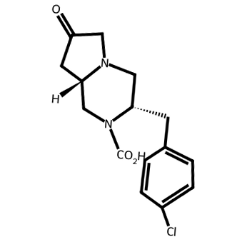 O=C1C[C@H]2CN(C(=O)O)[C@@H](Cc3ccc(Cl)cc3)CN2C1